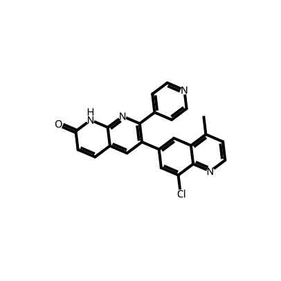 Cc1ccnc2c(Cl)cc(-c3cc4ccc(=O)[nH]c4nc3-c3ccncc3)cc12